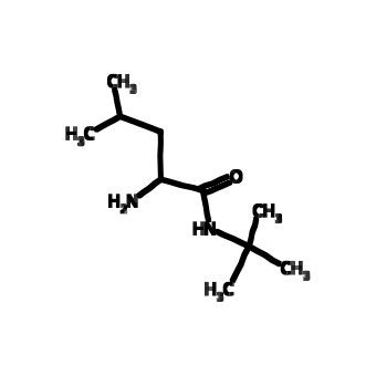 CC(C)CC(N)C(=O)NC(C)(C)C